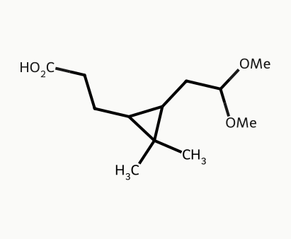 COC(CC1C(CCC(=O)O)C1(C)C)OC